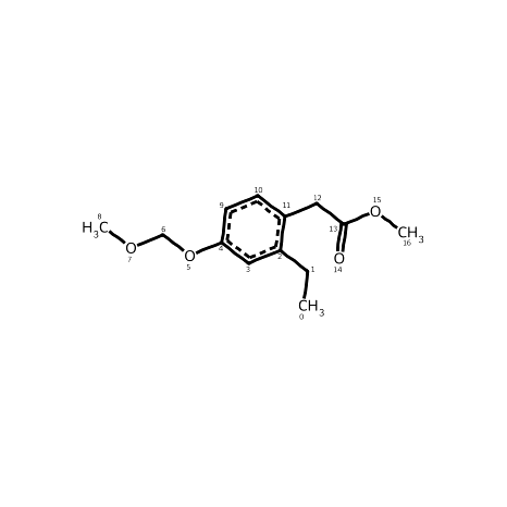 CCc1cc(OCOC)ccc1CC(=O)OC